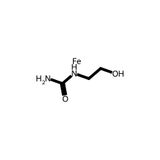 NC(=O)NCCO.[Fe]